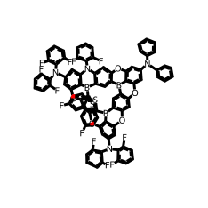 Fc1ccc2sc3c(c2c1)Oc1cc(N(c2c(F)cccc2F)c2c(F)cccc2F)cc2c1B3c1cc3c(cc1O2)Oc1cc(N(c2ccccc2)c2ccccc2)cc2c1B3c1cc3c(cc1O2)N(c1c(F)cccc1F)c1cc(N(c2c(F)cccc2F)c2c(F)cccc2F)cc2c1B3c1sc3ccc(F)cc3c1O2